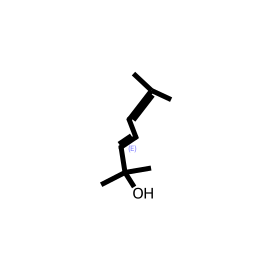 CC(C)=C/C=C/C(C)(C)O